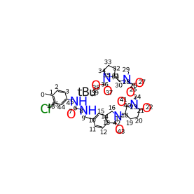 Cc1ccc(NC(=O)NCc2ccc3c(c2)CN(C2CCC(=O)N(COC(=O)N(C)C[C@@H]4CCCN4C(=O)OC(C)(C)C)C2=O)C3=O)cc1Cl